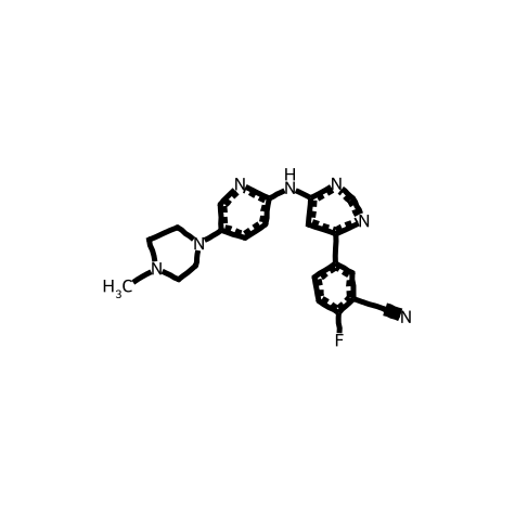 CN1CCN(c2ccc(Nc3cc(-c4ccc(F)c(C#N)c4)ncn3)nc2)CC1